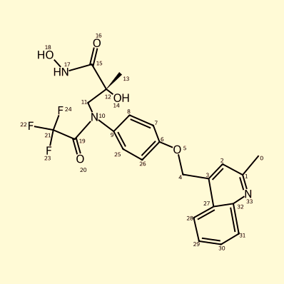 Cc1cc(COc2ccc(N(C[C@@](C)(O)C(=O)NO)C(=O)C(F)(F)F)cc2)c2ccccc2n1